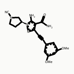 COc1cc(C#Cc2nn([C@H]3CCN(C#N)C3)c(N)c2C(N)=O)cc(OC)c1